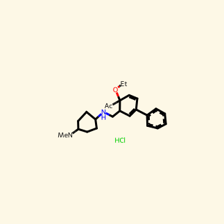 CCOC1(C(C)=O)C=CC(c2ccccc2)=CC1CNC1CCC(NC)CC1.Cl